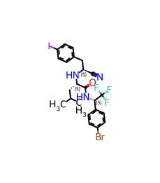 CC(C)C[C@H](N[C@H](C#N)Cc1ccc(I)cc1)C(=O)N[C@@H](c1ccc(Br)cc1)C(F)(F)F